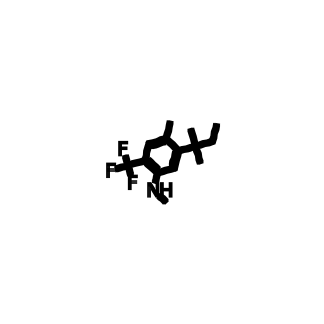 CCC(C)(C)c1cc(NC)c(C(F)(F)F)cc1C